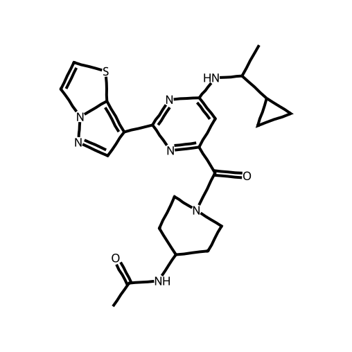 CC(=O)NC1CCN(C(=O)c2cc(NC(C)C3CC3)nc(-c3cnn4ccsc34)n2)CC1